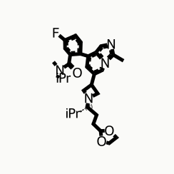 Cc1ncc2c(-c3ccc(F)cc3C(=O)N(C)C(C)C)cc(C3CN([C@H](CCC4OCCO4)C(C)C)C3)cn12